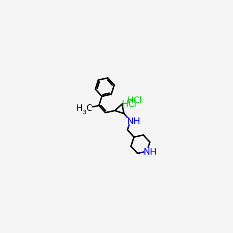 CC(=CC1CC1NCC1CCNCC1)c1ccccc1.Cl.Cl